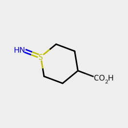 N=S1CCC(C(=O)O)CC1